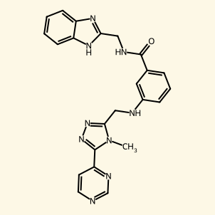 Cn1c(CNc2cccc(C(=O)NCc3nc4ccccc4[nH]3)c2)nnc1-c1ccncn1